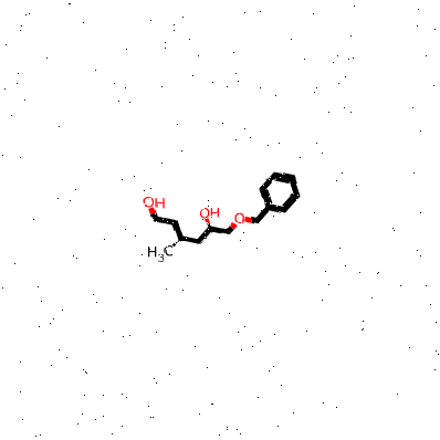 C[C@H](CCO)C[C@@H](O)COCc1ccccc1